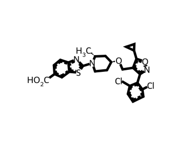 C[C@@H]1C[C@H](OCc2c(-c3c(Cl)cccc3Cl)noc2C2CC2)CCN1c1nc2ccc(C(=O)O)cc2s1